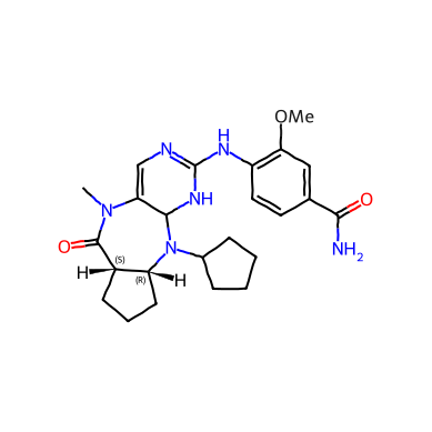 COc1cc(C(N)=O)ccc1NC1=NC=C2C(N1)N(C1CCCC1)[C@@H]1CCC[C@@H]1C(=O)N2C